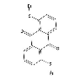 CCSc1cccc2c1C(=O)c1cccc(SCC)c1C2=O